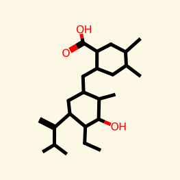 C=C(C(C)C)C1CC(CC2CC(C)C(C)CC2C(=O)O)C(C)C(O)C1CC